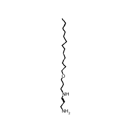 CCCCCCCCCCCCCOCCCNC=CCN